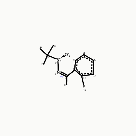 C/C(=N/[S@+]([O-])C(C)(C)C)c1ccccc1F